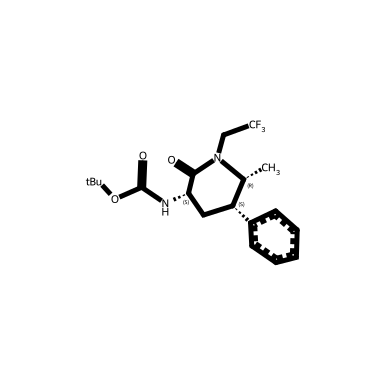 C[C@@H]1[C@H](c2ccccc2)C[C@H](NC(=O)OC(C)(C)C)C(=O)N1CC(F)(F)F